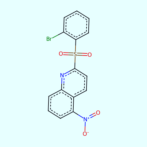 O=[N+]([O-])c1cccc2nc(S(=O)(=O)c3ccccc3Br)ccc12